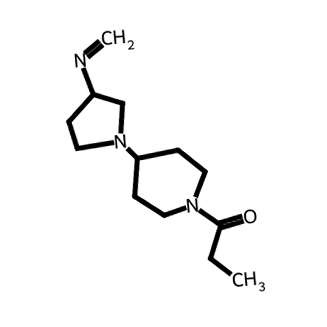 C=NC1CCN(C2CCN(C(=O)CC)CC2)C1